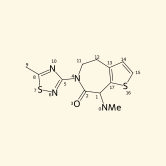 CNC1C(=O)N(c2nsc(C)n2)CCc2ccsc21